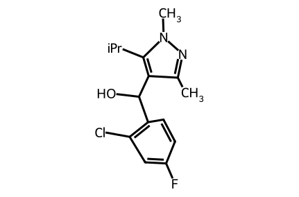 Cc1nn(C)c(C(C)C)c1C(O)c1ccc(F)cc1Cl